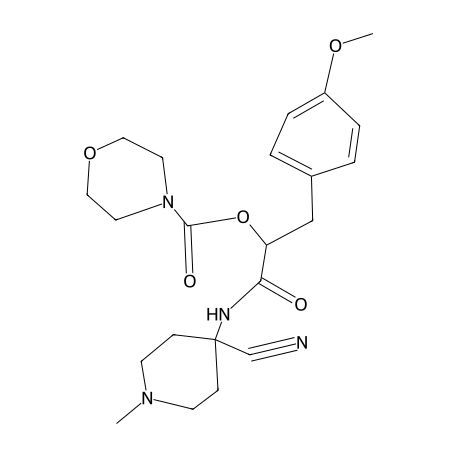 COc1ccc(CC(OC(=O)N2CCOCC2)C(=O)NC2(C#N)CCN(C)CC2)cc1